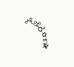 CC(=O)NCC1CN(c2ccc(-c3ccc(CNCc4nnn(C)n4)cc3)c(F)c2)C(=O)O1